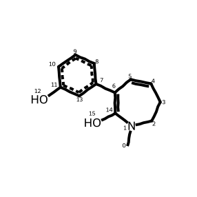 CN1CCC=CC(c2cccc(O)c2)=C1O